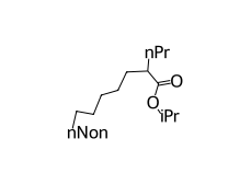 CCCCCCCCCCCCCCC(CCC)C(=O)OC(C)C